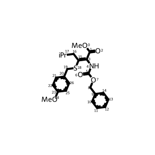 COC(=O)C(NC(=O)OCc1ccccc1)=C(CC(C)C)SCc1ccc(OC)cc1